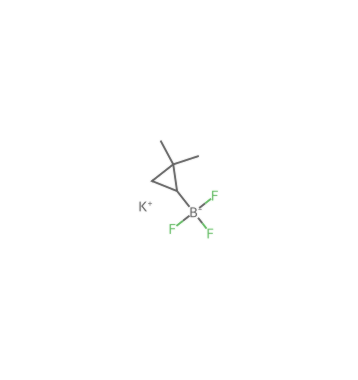 CC1(C)CC1[B-](F)(F)F.[K+]